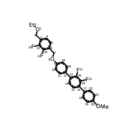 CCOCc1ccc(COc2ccc(-c3ccc(-c4ccc(OC)cc4)c(F)c3F)cc2)c(F)c1F